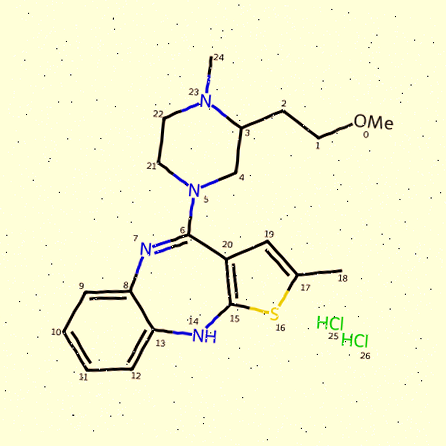 COCCC1CN(C2=Nc3ccccc3Nc3sc(C)cc32)CCN1C.Cl.Cl